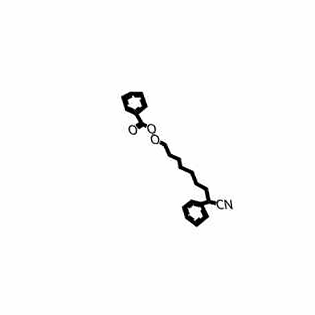 N#CC(CCCCCCCOOC(=O)c1ccccc1)c1ccccc1